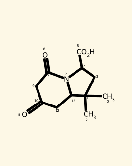 CC1(C)CC(C(=O)O)N2C(=O)CC(=O)CC21